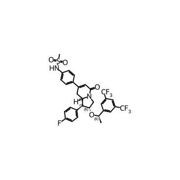 C[C@@H](O[C@H]1CN2C(=O)C=C(c3ccc(NS(C)(=O)=O)cc3)C[C@H]2[C@@H]1c1ccc(F)cc1)c1cc(C(F)(F)F)cc(C(F)(F)F)c1